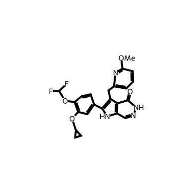 COc1cccc(Cc2c(-c3ccc(OC(F)F)c(OC4CC4)c3)[nH]c3cn[nH]c(=O)c23)n1